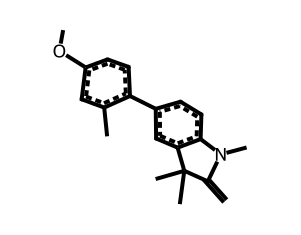 C=C1N(C)c2ccc(-c3ccc(OC)cc3C)cc2C1(C)C